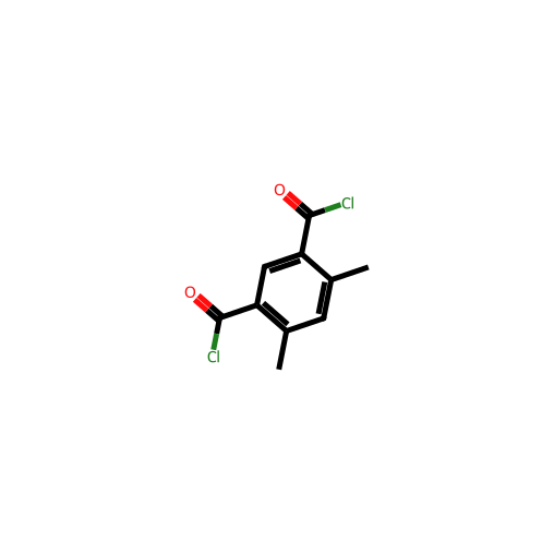 Cc1cc(C)c(C(=O)Cl)cc1C(=O)Cl